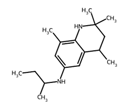 CCC(C)Nc1cc(C)c2c(c1)C(C)CC(C)(C)N2